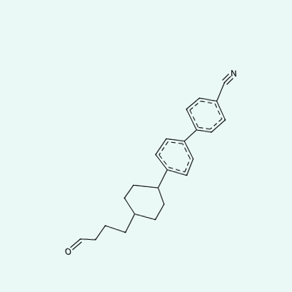 N#Cc1ccc(-c2ccc(C3CCC(CCCC=O)CC3)cc2)cc1